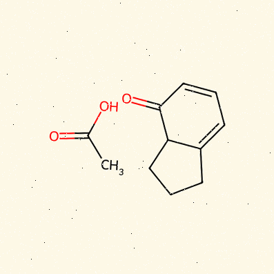 CC(=O)O.O=C1C=CC=C2CCCC12